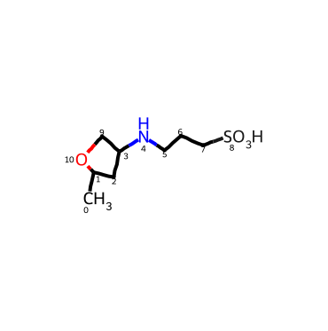 CC1CC(NCCCS(=O)(=O)O)CO1